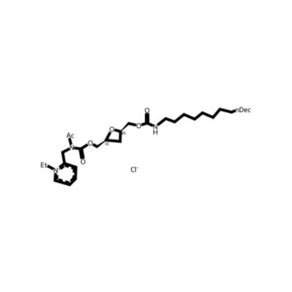 CCCCCCCCCCCCCCCCCCNC(=O)OC[C@H]1C[C@@H](COC(=O)N(Cc2cccc[n+]2CC)C(C)=O)O1.[Cl-]